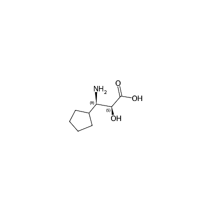 N[C@H](C1CCCC1)[C@H](O)C(=O)O